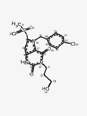 CS(=O)(=O)c1cc2[nH]c(=O)n(CCCO)c(=O)c2n1Cc1ccc(Cl)cc1